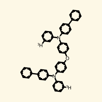 [3H]c1cccc(N(c2ccc(Oc3ccc(N(c4ccc(-c5ccccc5)cc4)c4cccc([3H])c4)cc3)cc2)c2ccc(-c3ccccc3)cc2)c1